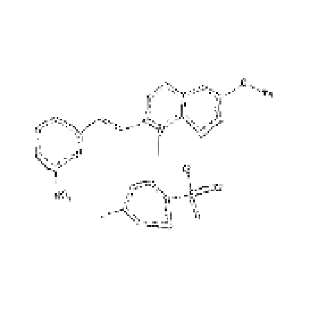 CCOc1ccc2c(ccc(C=Cc3cccc([N+](=O)[O-])c3)[n+]2C)c1.Cc1ccc(S(=O)(=O)[O-])cc1